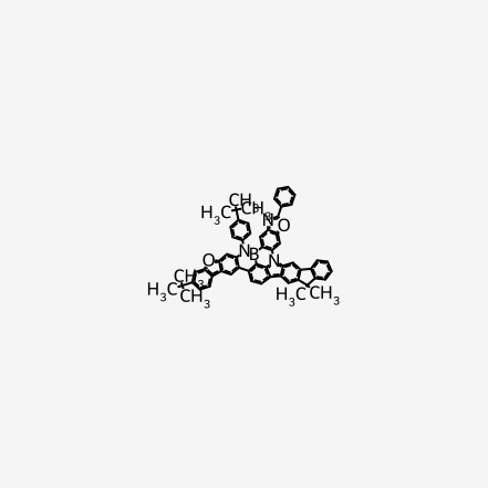 CC(C)(C)c1ccc(N2B3c4cc5nc(-c6ccccc6)oc5cc4-n4c5cc6c(cc5c5ccc(c3c54)-c3cc4c(cc32)oc2cc(C(C)(C)C)ccc24)C(C)(C)c2ccccc2-6)cc1